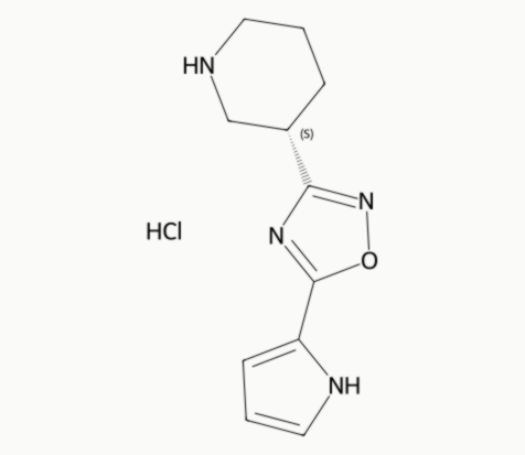 Cl.c1c[nH]c(-c2nc([C@H]3CCCNC3)no2)c1